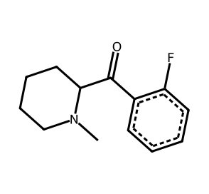 CN1CCCCC1C(=O)c1ccccc1F